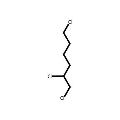 Cl[CH]C(Cl)CCCCCl